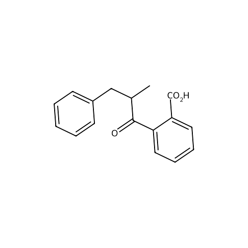 CC(Cc1ccccc1)C(=O)c1ccccc1C(=O)O